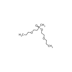 CCCOCCOP(C)(=O)CCOCCC